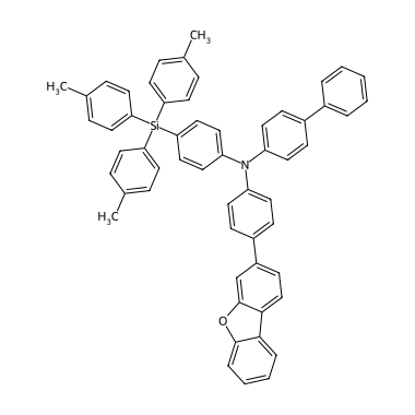 Cc1ccc([Si](c2ccc(C)cc2)(c2ccc(C)cc2)c2ccc(N(c3ccc(-c4ccccc4)cc3)c3ccc(-c4ccc5c(c4)oc4ccccc45)cc3)cc2)cc1